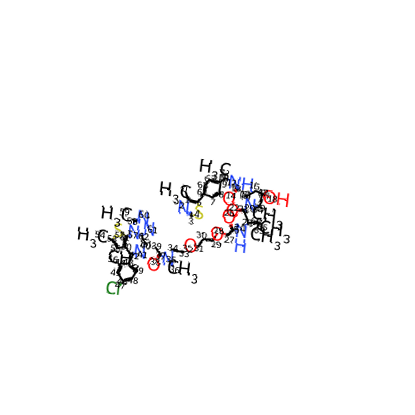 Cc1ncsc1-c1ccc([C@H](C)NC(=O)[C@@H]2C[C@@H](O)CN2C(=O)C(NC(=O)COCCCOCCN(C)C(=O)C[C@@H]2N=C(c3ccc(Cl)cc3)c3c(sc(C)c3C)-n3c(C)nnc32)C(C)(C)C)cc1